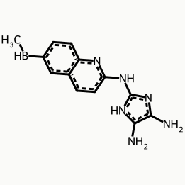 CBc1ccc2nc(Nc3nc(N)c(N)[nH]3)ccc2c1